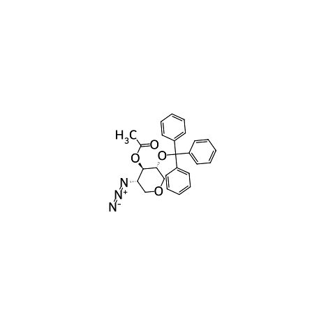 CC(=O)O[C@@H]1[C@@H](N=[N+]=[N-])COC[C@H]1OC(c1ccccc1)(c1ccccc1)c1ccccc1